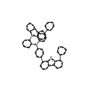 c1ccc(-c2ccc(N(c3ccc(-c4cccc5c4sc4c(-c6ccccc6)cccc45)cc3)c3ccccc3-n3c4ccccc4c4ccccc43)cc2)cc1